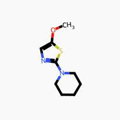 COc1cnc(N2CCCCC2)s1